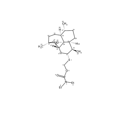 CCN(CC)C(=O)OCS[C@@H]1O[C@@H]2O[C@]3(C)CC[C@H]4[C@H](C)CC[C@@H]([C@H]1C)[C@@]24OO3